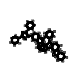 c1ccc(-c2nc(-c3ccccc3)n(-c3ccc4c(c3)c3ccccc3n4-c3ccccc3-n3c4ccccc4c4c5oc6ccccc6c5ccc43)n2)cc1